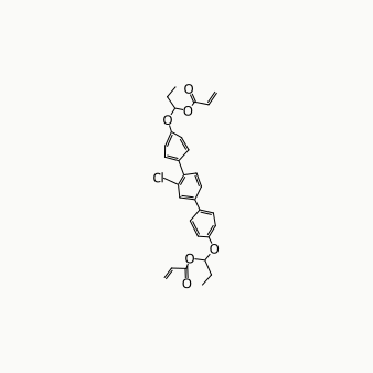 C=CC(=O)OC(CC)Oc1ccc(-c2ccc(-c3ccc(OC(CC)OC(=O)C=C)cc3)c(Cl)c2)cc1